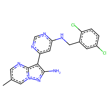 Cc1cnc2c(-c3cc(NCc4cc(Cl)ccc4Cl)ncn3)c(N)nn2c1